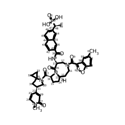 Cc1ccc2onc(C(=O)N3CC[C@H]4CC[C@@H](C(=O)N5C[C@@H](c6ccn(C)c(=O)c6)CC56CC6)N4C(=O)[C@@H](NC(=O)c4ccc5ccc([C@H](F)P(=O)(O)O)cc5c4)C3)c2c1